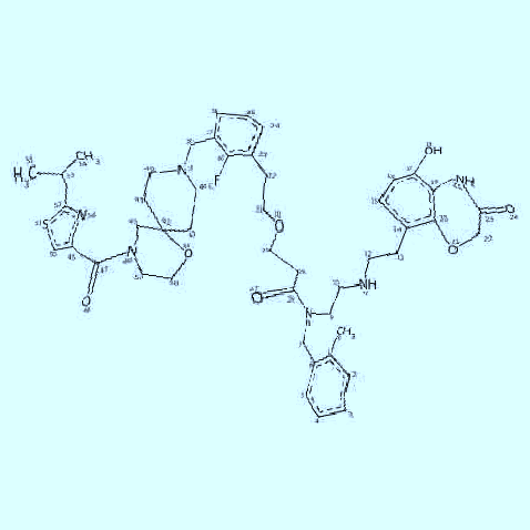 Cc1ccccc1CN(CCNCCc1ccc(O)c2c1OCC(=O)N2)C(=O)CCOCCc1cccc(CN2CCC3(CC2)CN(C(=O)c2csc(C(C)C)n2)CCO3)c1F